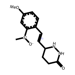 COc1ccc(/C=C/C2CCC(=O)NN2)c([S+](C)[O-])c1